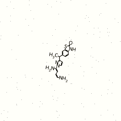 CC(c1ccc2[nH]c(=O)sc2c1)c1ccn(/C(N)=C/C=C\N)n1